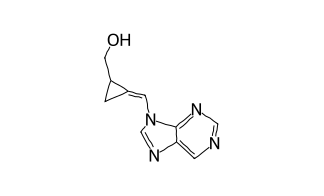 OCC1CC1=Cn1cnc2cncnc21